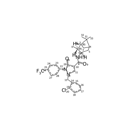 C[C@@H]1[C@H]2CC(C[C@H]1NC(=O)c1cn(Cc3ccccc3Cl)n(-c3ccc(C(F)(F)F)cc3)c1=O)C2(C)C